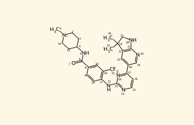 CN1CCC(NC(=O)c2ccc(Nc3nccc(-c4cnc5c(c4)C(C)(C)CN5)n3)c(C(F)(F)F)c2)CC1